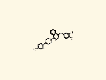 N#Cc1ccc(N2CCN(c3nnc(Cc4ccc(Cl)c(Cl)c4)c4ccccc34)CC2)nc1